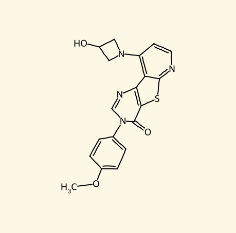 COc1ccc(-n2cnc3c(sc4nccc(N5CC(O)C5)c43)c2=O)cc1